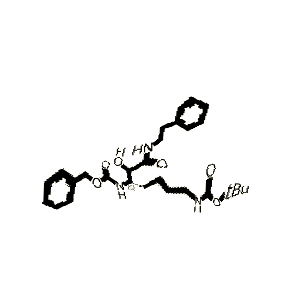 CC(C)(C)OC(=O)NCCCC[C@H](NC(=O)OCc1ccccc1)C(O)C(=O)NCCc1ccccc1